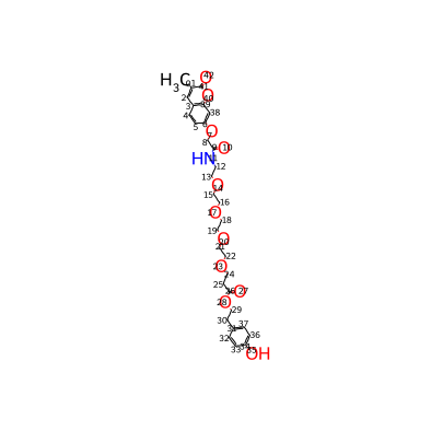 Cc1cc2ccc(OCC(=O)NCCOCCOCCOCCOCCC(=O)OCCc3ccc(O)cc3)cc2oc1=O